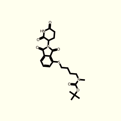 CN(CCCCSc1cccc2c1C(=O)N(C1CCC(=O)NC1=O)C2=O)C(=O)OC(C)(C)C